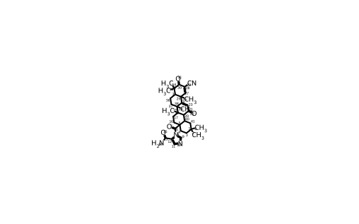 CC1(C)CCC2(C(=O)n3cncc3C(N)=O)CCC3(C)C(C(=O)C=C4C5(C)C=C(C#N)C(=O)C(C)(C)C5CCC43C)C2C1